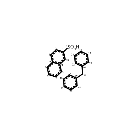 O=S(=O)(O)c1ccc2ccccc2c1.c1ccc(Cc2ccccc2)cc1